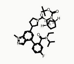 CCN(C(=O)c1cc(F)ccc1-c1cc(C2CCN(C(=O)[C@@H]3[C@H]4CC[C@H](C4)N3C(=O)OC(C)(C)C)C2)cc2c1cnn2C)C(C)C